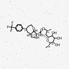 CSC1O[C@H]([C@H](NC(=O)[C@H]2NC[C@@H]3C[C@@H](c4ccc(C(F)(F)F)cc4)CCO[C@H]32)[C@H](C)Cl)C(O)C(O)[C@H]1O